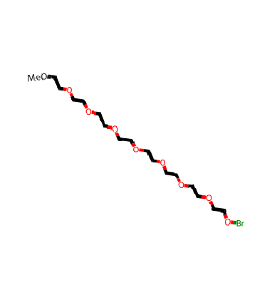 COCCOCCOCCOCCOCCOCCOCCOCCOBr